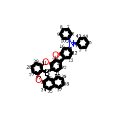 c1ccc(N(c2ccccc2)c2ccc3c(c2)oc2c4c(ccc23)B2c3c(cccc3O4)Oc3ccc4ccccc4c32)cc1